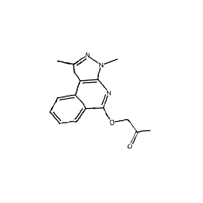 CC(=O)COc1nc2c(c(C)nn2C)c2ccccc12